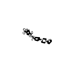 COC(=O)c1ccc(C(=O)NNC(=O)c2ccc(N3CCN(c4ccccn4)CC3)cc2)cc1